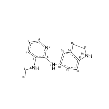 CCNc1cccnc1Nc1ccc2c(c1)CCN2